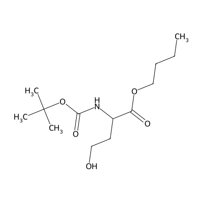 CCCCOC(=O)C(CCO)NC(=O)OC(C)(C)C